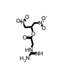 N=C(N)NCC(=O)OC(C[N+](=O)[O-])C[N+](=O)[O-]